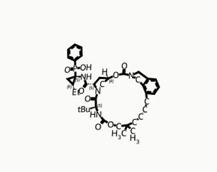 CC[C@@H]1C[C@]1(NC(=O)[C@@H]1C[C@@H]2CN1C(=O)[C@H](C(C)(C)C)NC(=O)OCC(C)(C)CCCCc1cccc3c1CN(C3)C(=O)O2)P(=O)(O)c1ccccc1